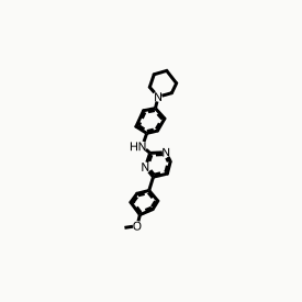 COc1ccc(-c2ccnc(Nc3ccc(N4CCCCC4)cc3)n2)cc1